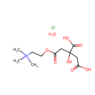 C[N+](C)(C)CCOC(=O)CC(O)(CC(=O)O)C(=O)O.O.[Cl-]